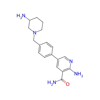 NC(=O)c1cc(-c2ccc(CN3CCCC(N)C3)cc2)cnc1N